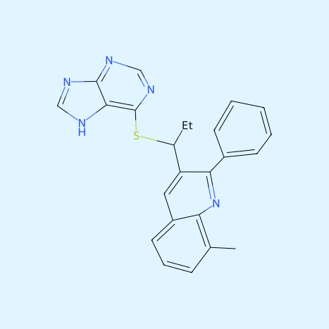 CCC(Sc1ncnc2nc[nH]c12)c1cc2cccc(C)c2nc1-c1ccccc1